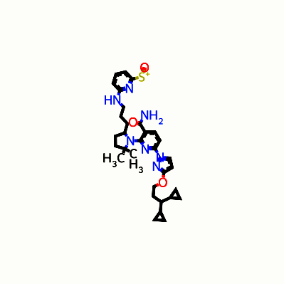 CC1(C)CCC(CCCNc2cccc([S+]=O)n2)N1c1nc(-n2ccc(OCCC(C3CC3)C3CC3)n2)ccc1C(N)=O